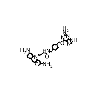 Nc1ccc2cc3ccc(N)cc3[n+](CCCC(=O)NCc3ccc(COc4nc(N)nc5[nH]cnc45)cc3)c2c1